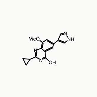 COc1cc(-c2cn[nH]c2)cc2c(O)nc(C3CC3)nc12